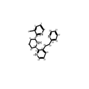 Cc1cccnc1[C@@H]1CCC[C@H](c2ncccc2CCc2ccccn2)N1